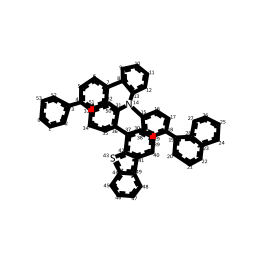 c1ccc(-c2ccc(-c3ccccc3N(c3ccc(-c4cccc5ccccc45)cc3)c3ccccc3-c3cccc4c3sc3ccccc34)cc2)cc1